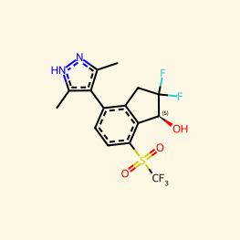 Cc1n[nH]c(C)c1-c1ccc(S(=O)(=O)C(F)(F)F)c2c1CC(F)(F)[C@H]2O